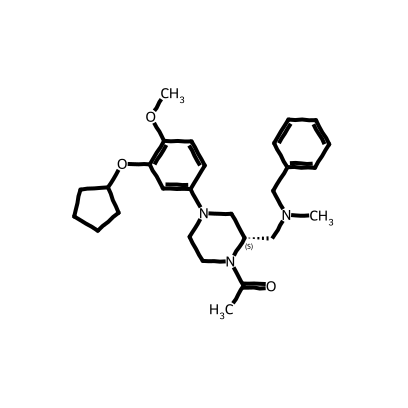 COc1ccc(N2CCN(C(C)=O)[C@@H](CN(C)Cc3ccccc3)C2)cc1OC1CCCC1